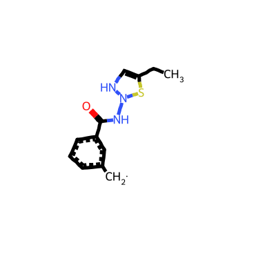 [CH2]c1cccc(C(=O)NN2NC=C(CC)S2)c1